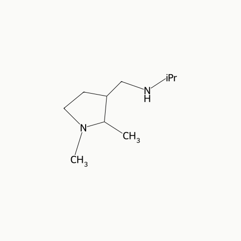 CC(C)NCC1CCN(C)C1C